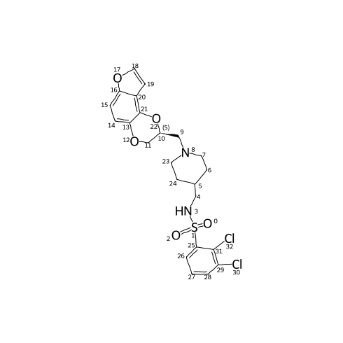 O=S(=O)(NCC1CCN(C[C@H]2COc3ccc4occc4c3O2)CC1)c1cccc(Cl)c1Cl